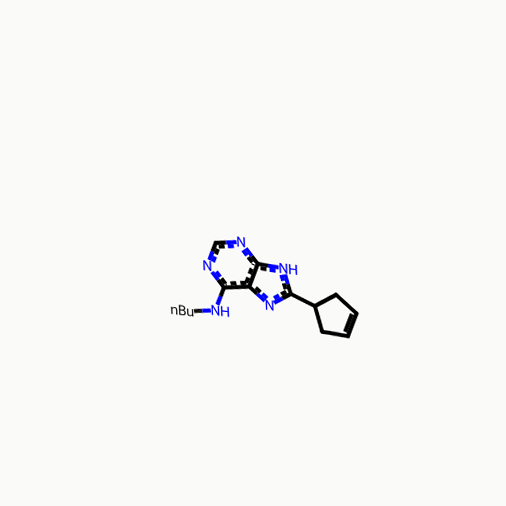 CCCCNc1ncnc2[nH]c(C3CC=CC3)nc12